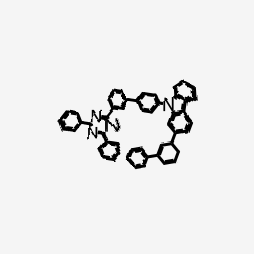 C1=CC(c2ccccc2)=CC(c2ccc3c4ccccc4n(-c4ccc(-c5cccc(-c6nc(-c7ccccc7)nc(-c7ccccc7)n6)c5)cc4)c3c2)C1